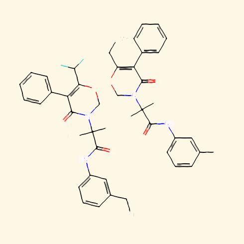 CC(C)(C(=O)Nc1cccc(CC(F)(F)F)c1)N1COC(C(F)F)=C(c2ccccc2)C1=O.CSCC1=C(c2ccccc2)C(=O)N(C(C)(C)C(=O)Nc2cccc(C(F)(F)F)c2)CO1